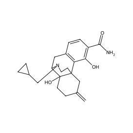 C=C1CCC2(O)C3Cc4ccc(C(N)=O)c(O)c4C2(CCN3CC2CC2)C1